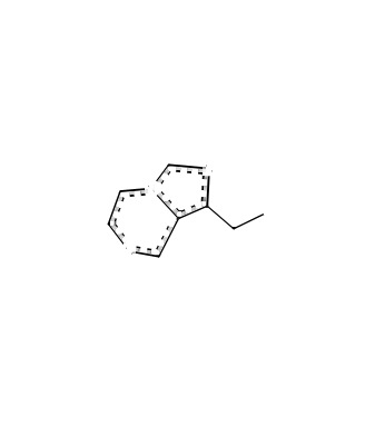 Cl.ClCc1ncn2ccncc12